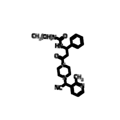 Cc1ncccc1C(C#N)N1CCN(C(=O)CC(NC(=O)N(C)O)c2ccccc2)CC1